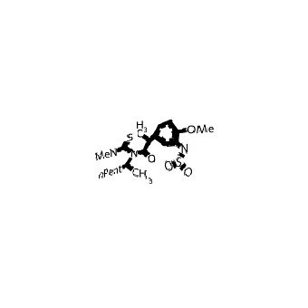 CCCCCC(C)N(C(=O)C(C)c1ccc(OC)c(N=S(=O)=O)c1)C(=S)NC